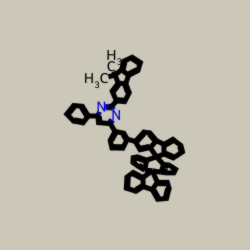 CC1(C)c2ccccc2-c2ccc(-c3nc(-c4ccccc4)cc(-c4cccc(-c5ccc6c(c5)C5(c7ccccc7-6)c6ccccc6C6(c7ccccc7-c7ccccc76)c6ccccc65)c4)n3)cc21